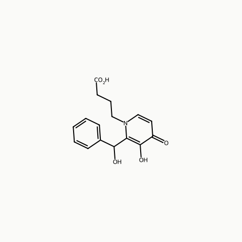 O=C(O)CCCn1ccc(=O)c(O)c1C(O)c1ccccc1